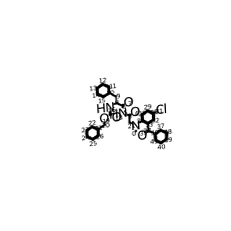 CN(CC(=O)NC(=O)[C@H](Cc1ccccc1)NC(=O)OCc1ccccc1)c1ccc(Cl)cc1C(=O)c1ccccc1